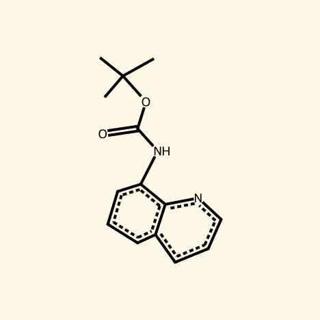 CC(C)(C)OC(=O)Nc1cccc2cccnc12